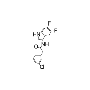 O=C(Cc1cccc(Cl)c1)Nc1c[nH]c2cc(F)c(F)cc12